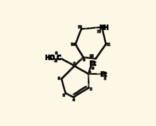 CCC1(CC)C=CCCC1(C(=O)O)C1CCNCC1